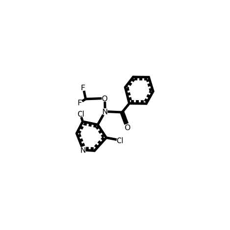 O=C(c1ccccc1)N(OC(F)F)c1c(Cl)cncc1Cl